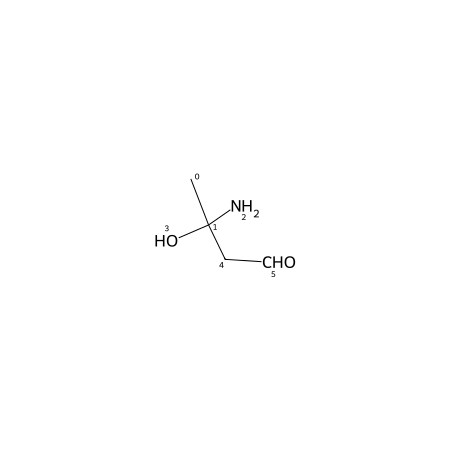 CC(N)(O)CC=O